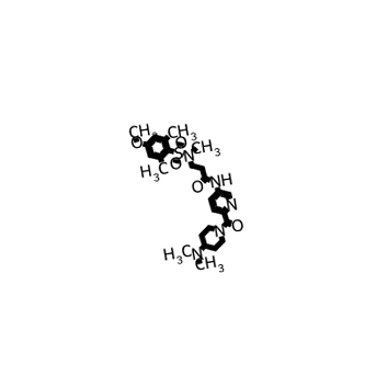 COc1cc(C)c(S(=O)(=O)N(C)CCC(=O)Nc2ccc(C(=O)N3CCC(N(C)C)CC3)nc2)c(C)c1